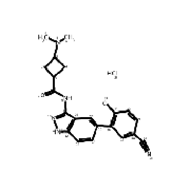 CN(C)C1CC(C(=O)Nc2n[nH]c3ccc(-c4cc(C#N)ccc4Cl)cc23)C1.Cl